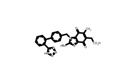 CCCCc1nc2c(n1Cc1ccc(-c3ccccc3-c3nnn[nH]3)cc1)C(=O)C(C)=C(CC(=O)O)C2=O